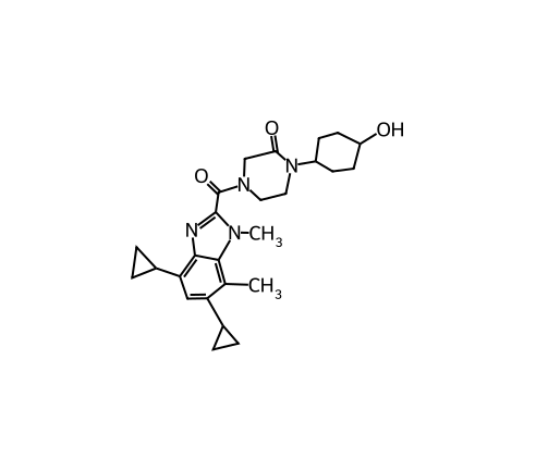 Cc1c(C2CC2)cc(C2CC2)c2nc(C(=O)N3CCN(C4CCC(O)CC4)C(=O)C3)n(C)c12